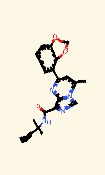 C#CC(C)(C)NC(=O)c1ncn2c(C)cc(-c3cccc4c3OCO4)nc12